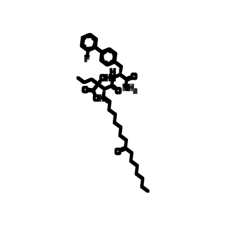 CCCCCCCC(=O)CCCCCCC=C[C@H](C(=O)N[C@@H](Cc1ccc(-c2ccccc2F)cc1)C(N)=O)[C@@](O)(CCC)C(=O)O